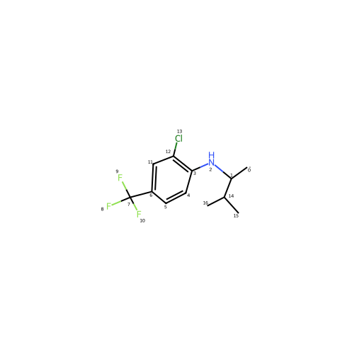 [CH2]C(Nc1ccc(C(F)(F)F)cc1Cl)C(C)C